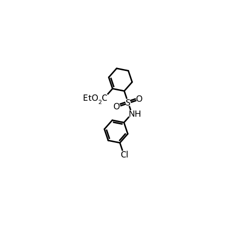 CCOC(=O)C1=CCCCC1S(=O)(=O)Nc1cccc(Cl)c1